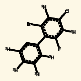 [2H]c1cc(-c2c(F)c([2H])c(Cl)c([2H])c2Br)c([2H])c([2H])c1[2H]